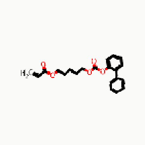 C=CC(=O)OCCCCCOC(=O)Oc1ccccc1-c1ccccc1